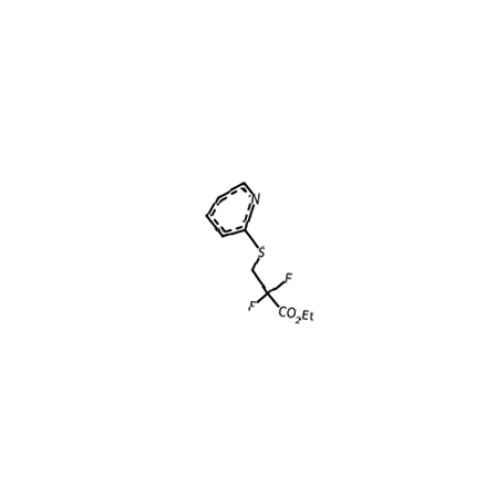 CCOC(=O)C(F)(F)CSc1ccccn1